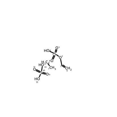 C=COS(=O)(=O)O.CC.O=S(=O)(O)O